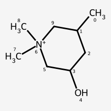 CC1CC(O)C[N+](C)(C)C1